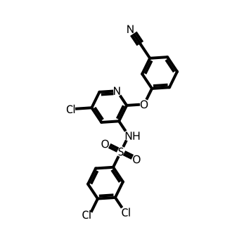 N#Cc1cccc(Oc2ncc(Cl)cc2NS(=O)(=O)c2ccc(Cl)c(Cl)c2)c1